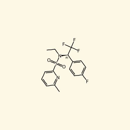 CCN([C@H](c1ccc(F)cc1)C(F)(F)F)S(=O)(=O)c1cccc(C)n1